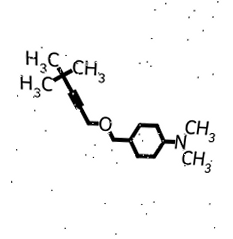 CN(C)C1CCC(COCC#CC(C)(C)C)CC1